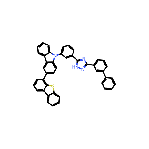 c1ccc(-c2cccc(-c3n[nH]c(-c4cccc(-n5c6ccccc6c6cc(-c7cccc8c7sc7ccccc78)ccc65)c4)n3)c2)cc1